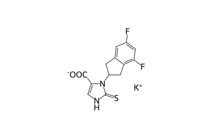 O=C([O-])c1c[nH]c(=S)n1C1Cc2cc(F)cc(F)c2C1.[K+]